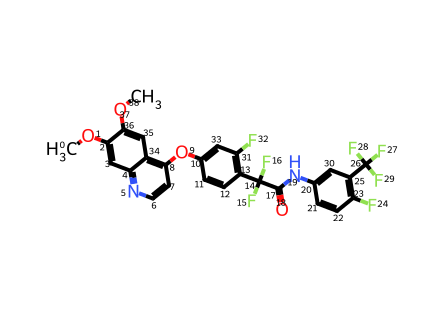 COc1cc2nccc(Oc3ccc(C(F)(F)C(=O)Nc4ccc(F)c(C(F)(F)F)c4)c(F)c3)c2cc1OC